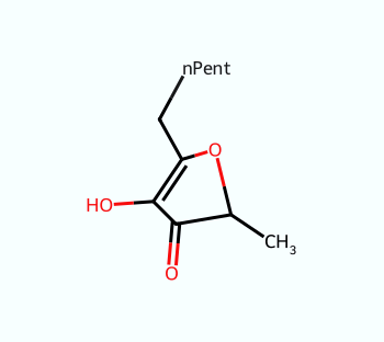 CCCCCCC1=C(O)C(=O)C(C)O1